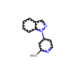 COc1cc(-n2ncc3c[c]ccc32)ccn1